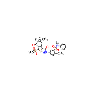 CCN(c1ccccc1)S(=O)(=O)c1cc(NC(=O)c2sc(S(C)(=O)=O)c3c2CC(C)(C)CC3=O)ccc1C